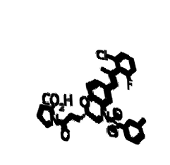 C/C(=C\c1ccc2c(c1)N(S(=O)(=O)c1cccc(C)c1)C[C@H](CCC(=O)N1CCC[C@H]1C(=O)O)O2)c1c(F)cccc1Cl